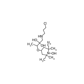 CC(OC1CC(C)(C)N(O)C(C)(C)C1)C(O)(O)CNCCCCl